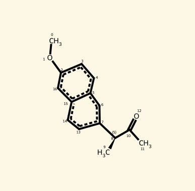 COc1ccc2cc([C@H](C)C(C)=O)ccc2c1